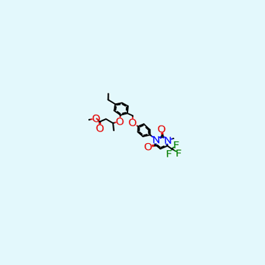 CCc1ccc(COc2ccc(-n3c(=O)cc(C(F)(F)F)n(C)c3=O)cc2)c(OC(C)CC(=O)OC)c1